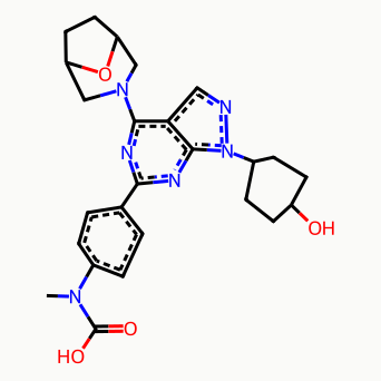 CN(C(=O)O)c1ccc(-c2nc(N3CC4CCC(C3)O4)c3cnn(C4CCC(O)CC4)c3n2)cc1